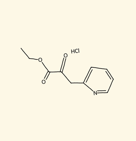 CCOC(=O)C(=O)Cc1ccccn1.Cl